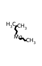 CCC[CH2][Mg][CH2]CCC(C)C